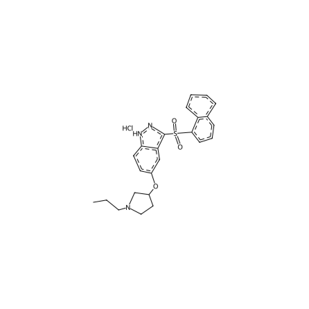 CCCN1CCC(Oc2ccc3[nH]nc(S(=O)(=O)c4cccc5ccccc45)c3c2)C1.Cl